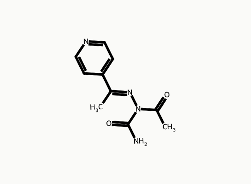 CC(=O)N(N=C(C)c1ccncc1)C(N)=O